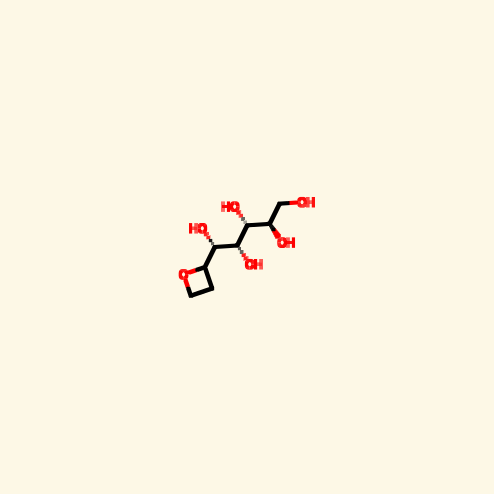 OC[C@@H](O)[C@@H](O)[C@H](O)[C@@H](O)C1CCO1